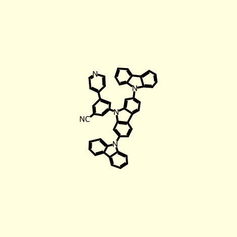 N#Cc1cc(-c2ccncc2)cc(-n2c3cc(-n4c5ccccc5c5ccccc54)ccc3c3ccc(-n4c5ccccc5c5ccccc54)cc32)c1